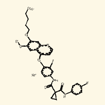 CCOc1cc2c(Oc3ccc(NC(=O)C4(C(=O)Nc5ccc(F)cc5)CC4)cc3F)ccnc2cc1OCCCCC(=O)[O-].[Na+]